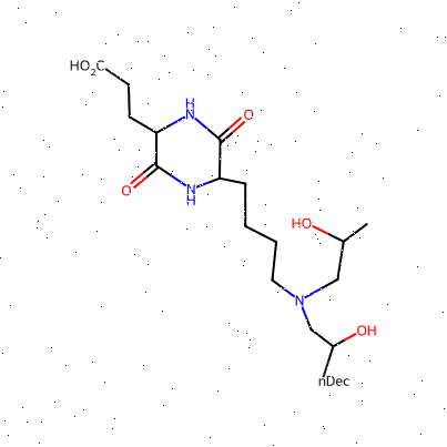 CCCCCCCCCCC(O)CN(CCCCC1NC(=O)C(CCC(=O)O)NC1=O)CC(C)O